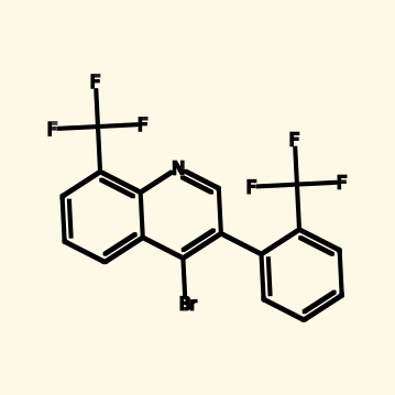 FC(F)(F)c1ccccc1-c1cnc2c(C(F)(F)F)cccc2c1Br